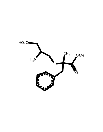 COC(=O)C(C)(Cc1ccccc1)OCC(N)CC(=O)O